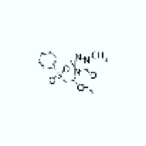 CC(CS(=O)(=O)c1ccccc1)n1nnn(C)c1=O